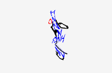 C=N/C(=C\C=C(/C)N1CCCCC1)Nc1ncc2cc3n(c2n1)C1(CCCC1)CNC3=O